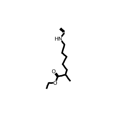 C=INCCCCCC(C)C(=O)OCC